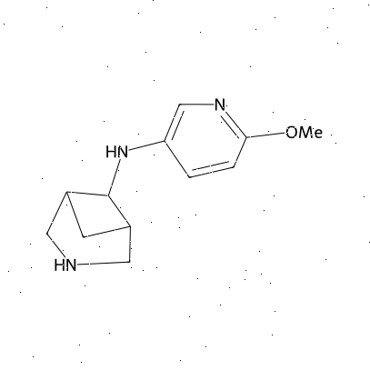 COc1ccc(NC2C3CNCC2C3)cn1